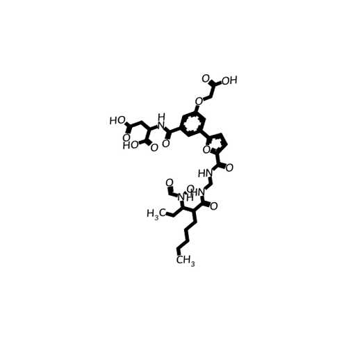 CCCCCC(C(=O)NCNC(=O)c1ccc(-c2cc(OCC(=O)O)cc(C(=O)NC(CC(=O)O)C(=O)O)c2)o1)C(CC)N(O)C=O